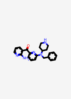 Nc1ncccc1C(=O)c1cccc(N(Cc2ccccc2)C2CCNCC2)n1